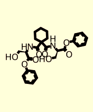 O=C(Oc1ccccc1)[C@@H](CO)NC(=O)C1(C(=O)N[C@H](CO)C(=O)Oc2ccccc2)CCCCC1